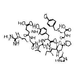 CC[C@H](C)[C@H](NC(=O)[C@H](Cc1ccc(O)cc1)NC(=O)[C@@H](NC(=O)[C@H](CCCNC(=N)N)NC(=O)[C@@H](N)CC(=O)O)C(C)C)C(=O)N[C@@H](Cc1c[nH]cn1)C(=O)N1CCC[C@H]1C(=O)N[C@@H](CSCc1ccc(Cl)cc1)C(=O)O